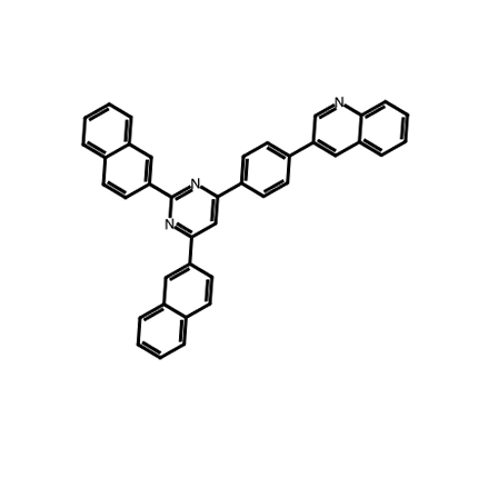 c1ccc2cc(-c3cc(-c4ccc(-c5cnc6ccccc6c5)cc4)nc(-c4ccc5ccccc5c4)n3)ccc2c1